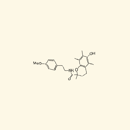 COc1ccc(CCNC(=O)C2(C)CCc3c(C)c(O)c(C)c(C)c3O2)cc1